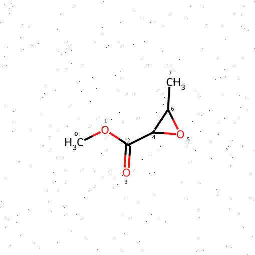 COC(=O)C1OC1C